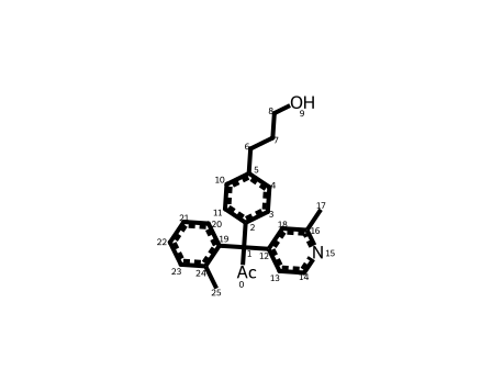 CC(=O)C(c1ccc(CCCO)cc1)(c1ccnc(C)c1)c1ccccc1C